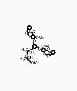 COC(=O)CCC(C)(C)OCCC(C)(C)SCc1cc(COC2=C(OC)C=C3C(=O)N4c5ccccc5C[C@H]4C=NC3C2)cc(COc2cc3c(cc2OC)C(=O)N2c4ccccc4C[C@H]2C=N3)c1